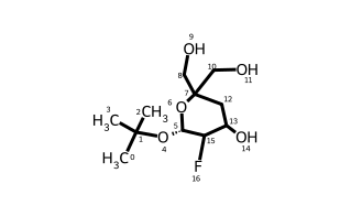 CC(C)(C)O[C@@H]1OC(CO)(CO)CC(O)C1F